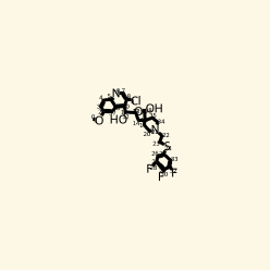 COc1ccc2ncc(Cl)c([C@@H](O)CCC3(C(=O)O)CCN(CCSc4cc(F)c(F)c(F)c4)CC3)c2c1